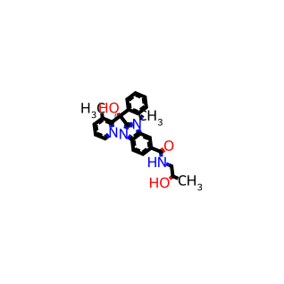 Cc1cccnc1[C@](O)(c1ccccc1)c1nc2ccc(C(=O)NCC(C)O)cc2n1C